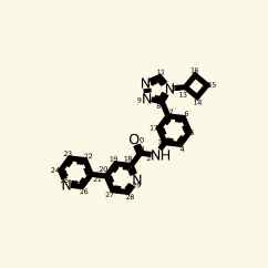 O=C(Nc1cccc(-c2nncn2C2CCC2)c1)c1cc(-c2cccnc2)ccn1